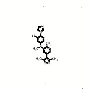 Cc1ccc(-c2c(C)noc2C)cc1N(C)c1ccc(-n2ccnc2)c(Cl)c1